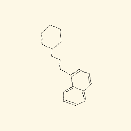 c1ccc2c(CCCC3CCCCC3)cccc2c1